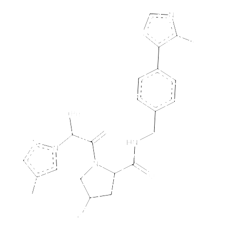 Cc1ncsc1-c1ccc(CNC(=O)C2CC(O)CN2C(=O)C(n2cc(I)cn2)C(C)(C)C)cc1